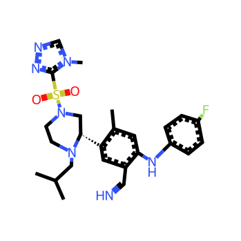 Cc1cc(Nc2ccc(F)cc2)c(C=N)cc1[C@H]1CN(S(=O)(=O)c2nncn2C)CCN1CC(C)C